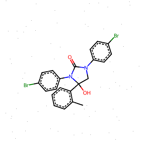 Cc1ccccc1C1(O)CN(c2ccc(Br)cc2)C(=O)N1c1ccc(Br)cc1